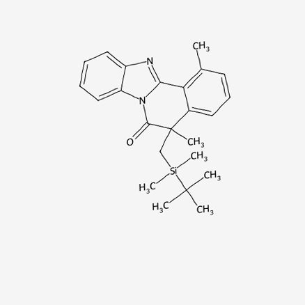 Cc1cccc2c1-c1nc3ccccc3n1C(=O)C2(C)C[Si](C)(C)C(C)(C)C